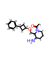 CC(=O)N1CCCC(N)C1COC1CC(c2ccccc2)C1